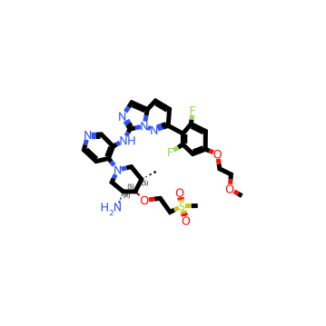 COCCOc1cc(F)c(-c2ccc3cnc(Nc4cnccc4N4C[C@@H](N)[C@@H](OCCS(C)(=O)=O)[C@@H](C)C4)n3n2)c(F)c1